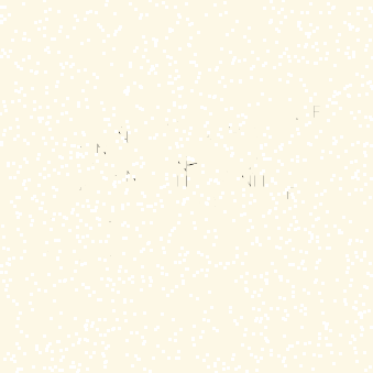 O=C(N[C@H]1COc2cc(F)cc(F)c2NC1=O)c1nc2n(n1)CCC2c1ccccc1